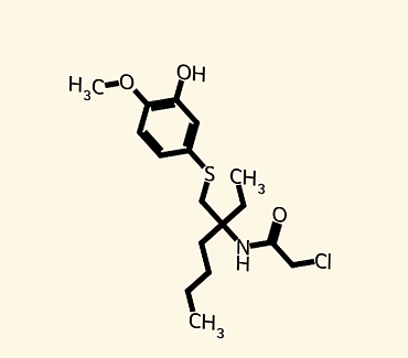 CCCCC(CC)(CSc1ccc(OC)c(O)c1)NC(=O)CCl